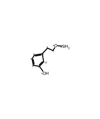 Oc1cccc(CCO[SiH3])c1